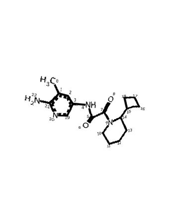 Cc1cc(NC(=O)C(=O)N2CCCCC2C2CCC2)cnc1N